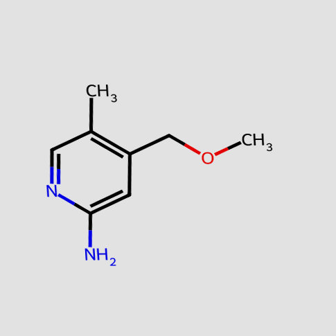 COCc1cc(N)ncc1C